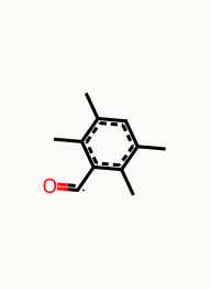 Cc1cc(C)c(C)c([C]=O)c1C